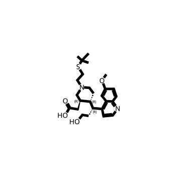 COc1ccc2nccc([C@H](CCO)[C@H]3CCN(CCSC(C)(C)C)C[C@@H]3CC(=O)O)c2c1